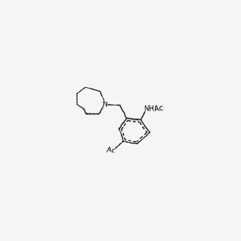 CC(=O)Nc1ccc(C(C)=O)cc1CN1CCCCCC1